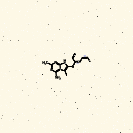 C=C/C(=C\C=C/C)Sc1[nH]c2nc(N)nc(N)c2c1C